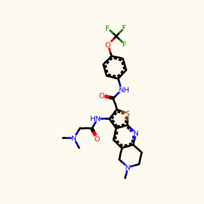 CN(C)CC(=O)Nc1c(C(=O)Nc2ccc(OC(F)(F)F)cc2)sc2nc3c(cc12)CN(C)CC3